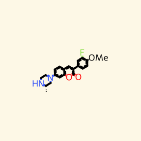 COc1ccc(-c2cc3ccc(N4CCN[C@@H](C)C4)cc3oc2=O)cc1F